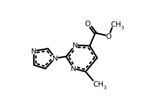 COC(=O)c1cc(C)nc(-n2ccnc2)n1